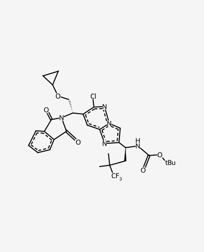 CC(C)(C)OC(=O)N[C@@H](CC(C)(C)C(F)(F)F)c1cn2nc(Cl)c([C@@H](COC3CC3)N3C(=O)c4ccccc4C3=O)cc2n1